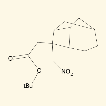 CC(C)(C)OC(=O)CC1(C[N+](=O)[O-])C2CCC3CC2C1C3